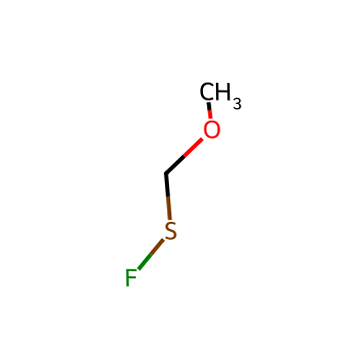 COCSF